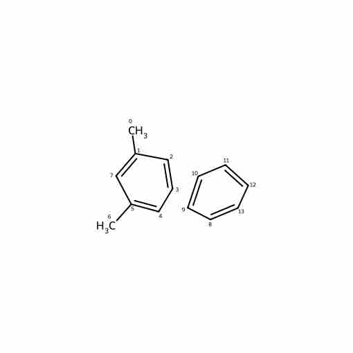 Cc1cccc(C)c1.c1ccccc1